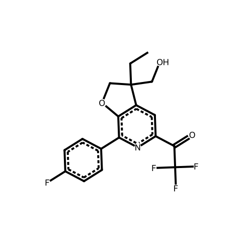 CCC1(CO)COc2c1cc(C(=O)C(F)(F)F)nc2-c1ccc(F)cc1